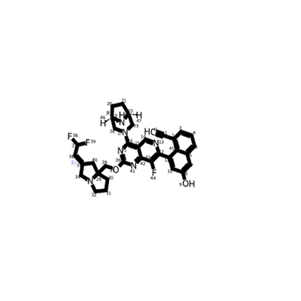 C#Cc1cccc2cc(O)cc(-c3ncc4c(N5C[C@H]6CC[C@@H](C5)N6)nc(OCC56CCCN5C/C(=C/C(F)F)C6)nc4c3F)c12